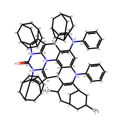 CC1CC2CC(C)C3=C(C(C1)C2)N(c1ccccc1)c1cc2c4c5c1B3c1c3c(n6c(=O)n7c8c(c(c7n-5c16)B4C1=C(C4CC5CC(CC1C5)C4)N2c1ccccc1)C1CC2CC(C1)CC8C2)C1CC2CC(CC3C2)C1